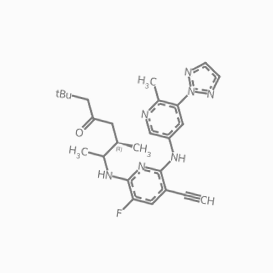 C#Cc1cc(F)c(NC(C)[C@H](C)CC(=O)CC(C)(C)C)nc1Nc1cnc(C)c(-n2nccn2)c1